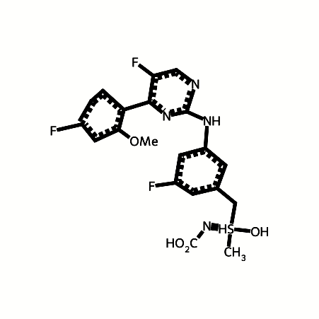 COc1cc(F)ccc1-c1nc(Nc2cc(F)cc(C[SH](C)(O)=NC(=O)O)c2)ncc1F